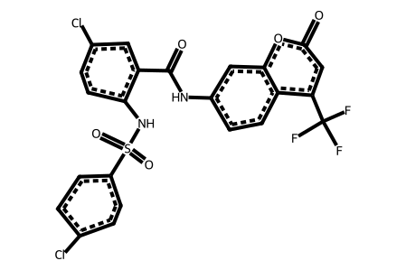 O=C(Nc1ccc2c(C(F)(F)F)cc(=O)oc2c1)c1cc(Cl)ccc1NS(=O)(=O)c1ccc(Cl)cc1